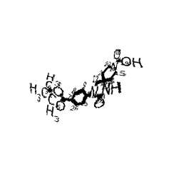 CC(C)(C)OC(=O)c1ccc(N2CC3(CCN(C(=O)O)CC3)NC2=O)cc1